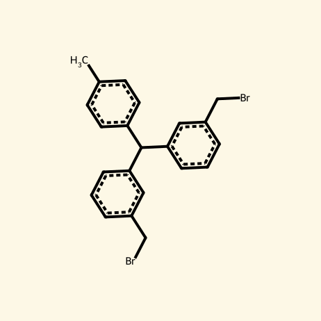 Cc1ccc(C(c2cccc(CBr)c2)c2cccc(CBr)c2)cc1